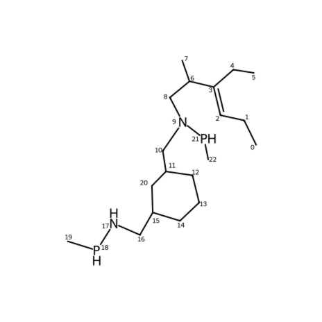 CCC=C(CC)C(C)CN(CC1CCCC(CNPC)C1)PC